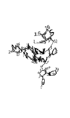 COc1ccc(CCNC(=O)C(Cc2cccs2)Nc2cc(-n3ccnc3)ncn2)cc1OC